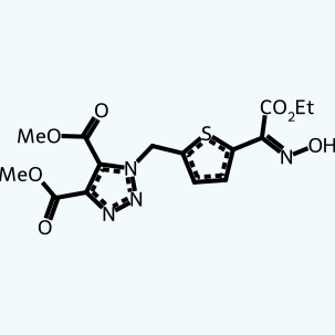 CCOC(=O)/C(=N\O)c1ccc(Cn2nnc(C(=O)OC)c2C(=O)OC)s1